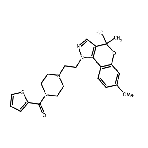 COc1ccc2c(c1)OC(C)(C)c1cnn(CCN3CCN(C(=O)c4cccs4)CC3)c1-2